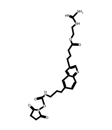 N=C(N)NCCOC(=O)CCCc1cnc2ccc(CCCNC(=O)ON3C(=O)CCC3=O)cc2c1